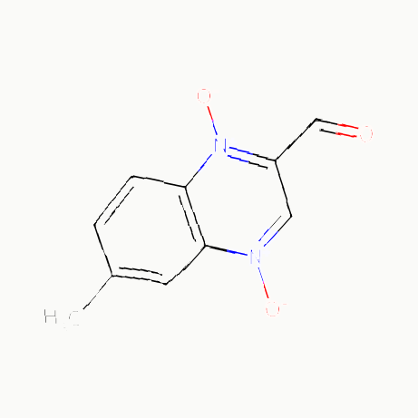 Cc1ccc2c(c1)[n+]([O-])cc(C=O)[n+]2[O-]